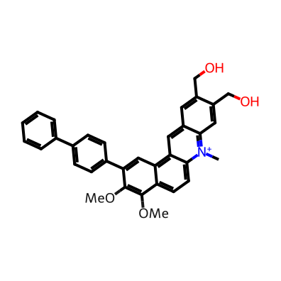 COc1c(-c2ccc(-c3ccccc3)cc2)cc2c(ccc3c2cc2cc(CO)c(CO)cc2[n+]3C)c1OC